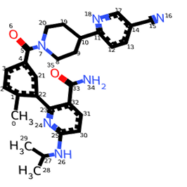 Cc1ccc(C(=O)N2CCC(c3ccc(C#N)cn3)CC2)cc1-c1nc(NC(C)C)ccc1C(N)=O